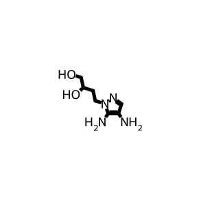 Nc1cnn(CCC(O)CO)c1N